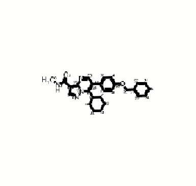 CNC(=O)c1cnn2c(C3CCCCC3)c(-c3ccc(OCc4ccccc4)cc3)cnc12